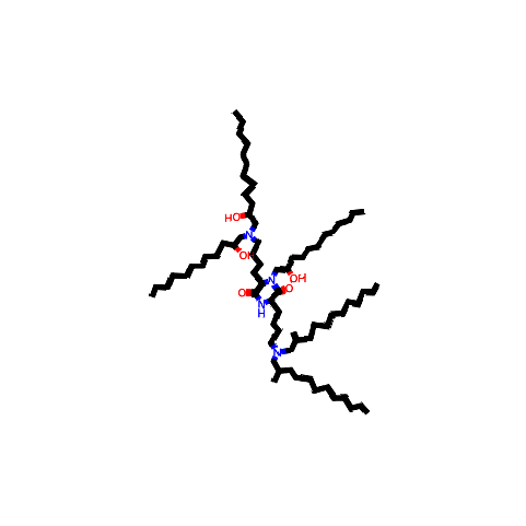 CCCCCCCCCCC(C)CN(CCCCC1NC(=O)C(CCCCN(CC(O)CCCCCCCCCC)CC(O)CCCCCCCCCC)N(CC(O)CCCCCCCCCC)C1=O)CC(C)CCCCCCCCCC